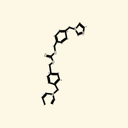 C=CN(/C=C\C)Cc1ccc(COC(=O)OCc2ccc(Cn3ccnc3)cc2)cc1